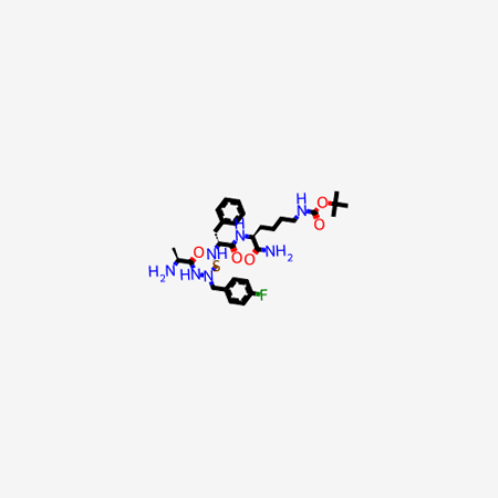 C[C@H](N)C(=O)NN(Cc1ccc(F)cc1)SN[C@H](Cc1ccccc1)C(=O)N[C@@H](CCCCNC(=O)OC(C)(C)C)C(N)=O